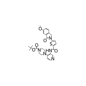 COc1ccc2c(c1)C(=O)N(c1ccc(C(=O)Nc3cnccc3N3CCN(C(=O)OC(C)(C)C)CC3)s1)C2